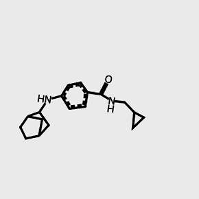 O=C(NCC1CC1)c1ccc(NC2CC3CCC2C3)cc1